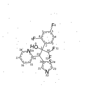 OC(c1ccc(F)cc1F)(C(F)F)C(c1ccccn1)c1cncs1